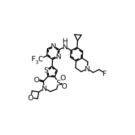 O=C1c2sc(-c3nc(Nc4cc5c(cc4C4CC4)CN(CCF)CC5)ncc3C(F)(F)F)cc2S(=O)(=O)CCN1C1COC1